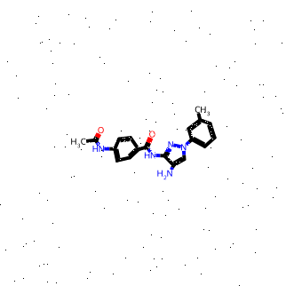 CC(=O)Nc1ccc(C(=O)Nc2nn(-c3cccc(C)c3)cc2N)cc1